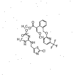 CN/C(=N\[N+](=O)[O-])NCc1cnc(Cl)s1.CO/C=C(/C(=O)OC)c1ccccc1COc1cccc(C(F)(F)F)n1